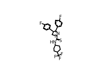 Fc1ccc(C2=NN(C(=S)NC3CCC(C(F)(F)F)CC3)CC2c2ccc(F)cc2)cc1